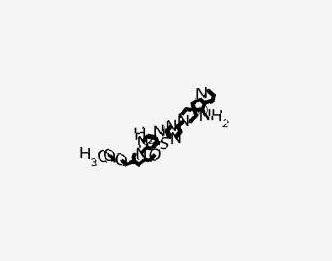 COCOCC1CC2COc3c(Sc4ncc(N5CCC6(CC5)Cc5ncccc5[C@H]6N)nc4N)ccnc3N2C1